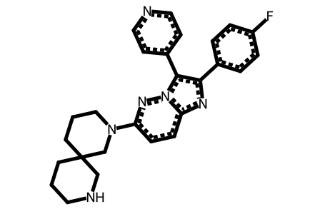 Fc1ccc(-c2nc3ccc(N4CCCC5(CCCNC5)C4)nn3c2-c2ccncc2)cc1